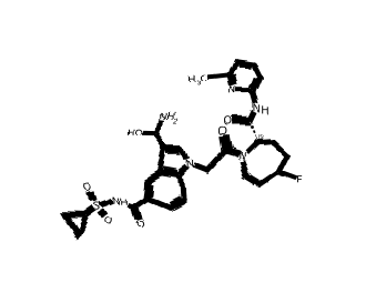 Cc1cccc(NC(=O)[C@@H]2CCC(F)CCN2C(=O)Cn2cc(C(N)O)c3cc(C(=O)NS(=O)(=O)C4CC4)ccc32)n1